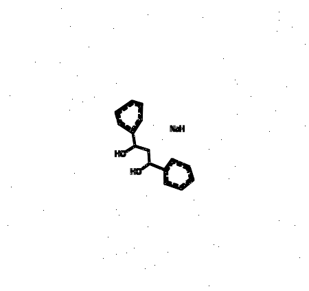 OC(CC(O)c1ccccc1)c1ccccc1.[NaH]